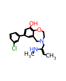 C/C=C(\CN1CCOc2c(O)cc(-c3cccc(Cl)c3)cc2C1)NC